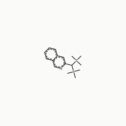 CS(C)(C)C(c1cc2ccccc2cn1)S(C)(C)C